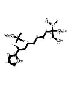 COC(C)(C)OC(CCCCCCC(CO)(SC)[S+](C)[O-])c1ccco1